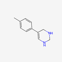 Cc1ccc(C2=CNCNC2)cc1